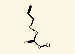 C=CCOOC(=O)OCC